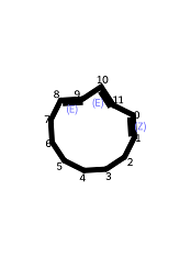 C1=C\CCCCCC/C=C/C=C/1